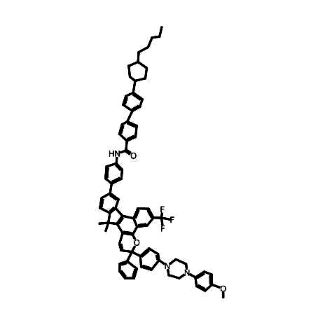 CCCCCC1CCC(c2ccc(-c3ccc(C(=O)Nc4ccc(-c5ccc6c(c5)-c5c(c7c(c8cc(C(F)(F)F)ccc58)OC(c5ccccc5)(c5ccc(N8CCN(c9ccc(OC)cc9)CC8)cc5)C=C7)C6(C)C)cc4)cc3)cc2)CC1